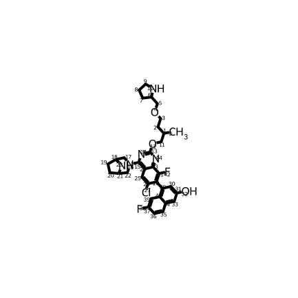 CC(CCOCC1CCCN1)COc1nc(N2CC3CCC(C2)N3)c2cc(Cl)c(-c3cc(O)cc4ccc(F)cc34)c(F)c2n1